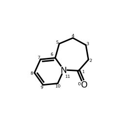 O=C1CCCCC2=CC=CCN12